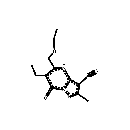 CCOCc1[nH]c2c(C#N)c(C)nn2c(=O)c1CC